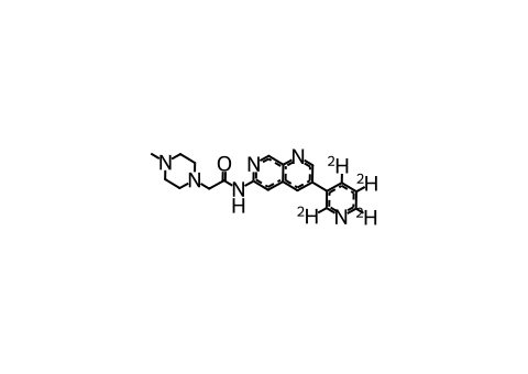 [2H]c1nc([2H])c(-c2cnc3cnc(NC(=O)CN4CCN(C)CC4)cc3c2)c([2H])c1[2H]